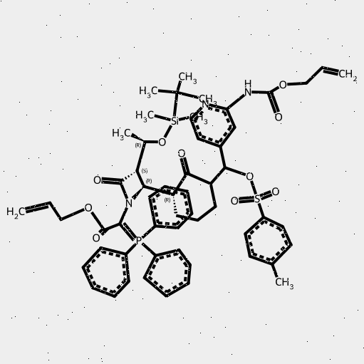 C=CCOC(=O)Nc1cc(C(OS(=O)(=O)c2ccc(C)cc2)C2CCC[C@H]([C@@H]3[C@@H]([C@@H](C)O[Si](C)(C)C(C)(C)C)C(=O)N3C(C(=O)OCC=C)=P(c3ccccc3)(c3ccccc3)c3ccccc3)C2=O)ccn1